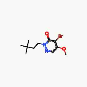 COc1cnn(CCC(C)(C)C)c(=O)c1Br